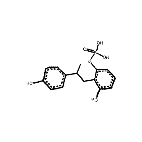 CC(Cc1c(O)cccc1OP(=O)(O)O)c1ccc(O)cc1